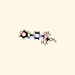 CC(C)(C)OC(=O)N1CCN(c2nc3c(s2)COCC3)CC1